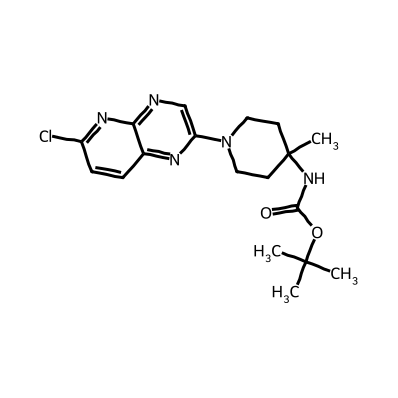 CC1(NC(=O)OC(C)(C)C)CCN(c2cnc3nc(Cl)ccc3n2)CC1